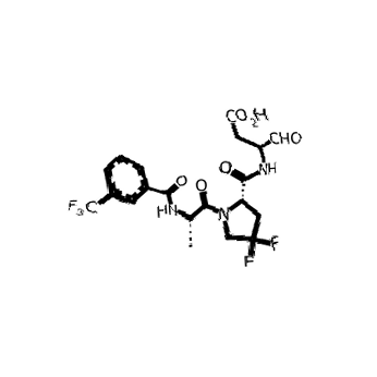 C[C@H](NC(=O)c1cccc(C(F)(F)F)c1)C(=O)N1CC(F)(F)C[C@H]1C(=O)N[C@H](C=O)CC(=O)O